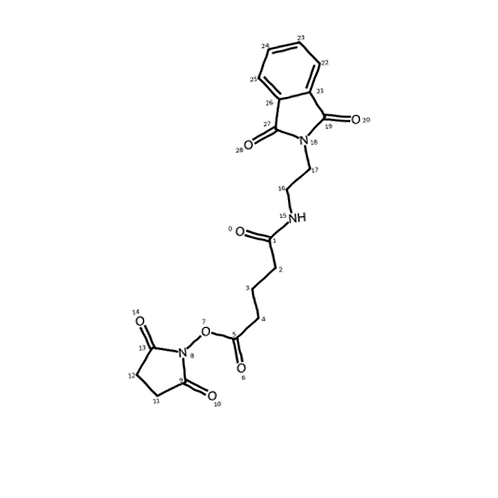 O=C(CCCC(=O)ON1C(=O)CCC1=O)NCCN1C(=O)c2ccccc2C1=O